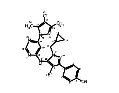 CCc1c(-c2ccc(C#N)cc2)nn(CC2CC2)c1Nc1cc(-n2nc(C)c(Cl)c2C)ncn1